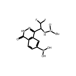 CC(C)(C)[S+]([O-])NC(c1n[nH]c(=O)c2ccc(B(O)O)cc12)C(F)F